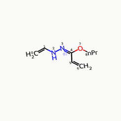 C=CN/N=C(\C=C)OCCC